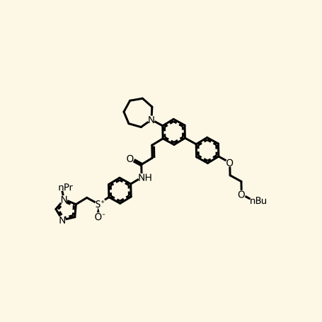 CCCCOCCOc1ccc(-c2ccc(N3CCCCCC3)c(C=CC(=O)Nc3ccc([S@@+]([O-])Cc4cncn4CCC)cc3)c2)cc1